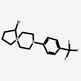 FC(F)(F)c1ccc(N2CC[N+]3(CCCC3Br)CC2)cc1